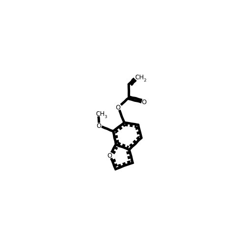 C=CC(=O)Oc1ccc2ccoc2c1OC